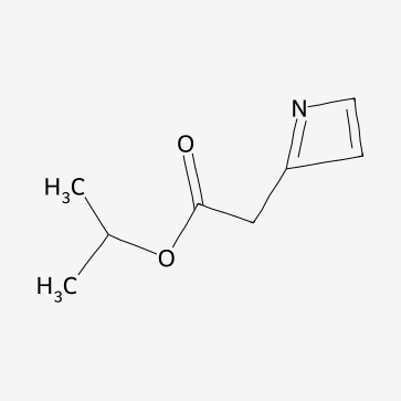 CC(C)OC(=O)CC1=NC=C1